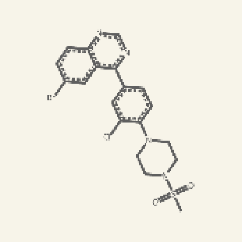 CS(=O)(=O)N1CCN(c2ccc(-c3ncnc4ccc(Br)cc34)cc2Cl)CC1